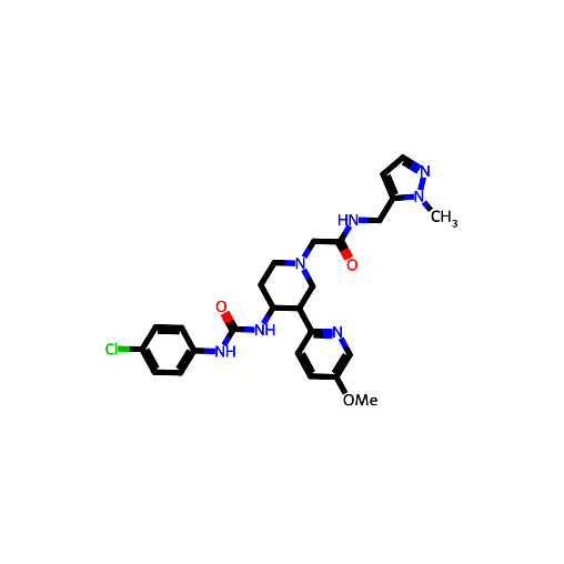 COc1ccc(C2CN(CC(=O)NCc3ccnn3C)CCC2NC(=O)Nc2ccc(Cl)cc2)nc1